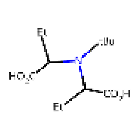 CCC(C(=O)O)N(C(CC)C(=O)O)C(C)(C)C